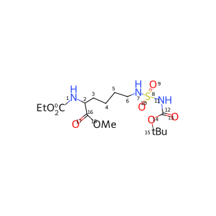 CCOC(=O)NC(CCCCNS(=O)(=O)NC(=O)OC(C)(C)C)C(=O)OC